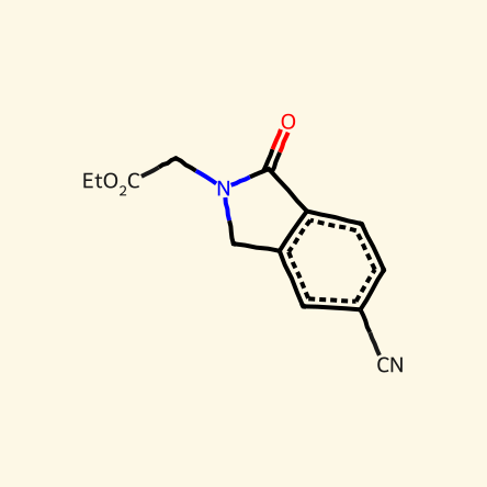 CCOC(=O)CN1Cc2cc(C#N)ccc2C1=O